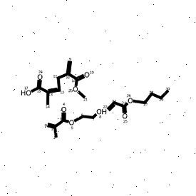 C=C(C)C(=O)OCCO.C=C(CC=C(C)C(=O)O)C(=O)OC.C=CC(=O)OCCCC